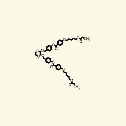 C=CC(=O)OCCCCCOc1ccc(C(=O)Oc2ccc(CO[C@@H]3OCCO[C@H]3OCc3ccc(OC(=O)c4ccc(OCCCCCOC(=O)C=C)cc4)cc3)cc2)cc1